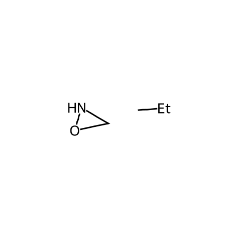 C1NO1.CCC